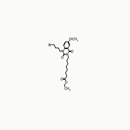 CCOC(=O)CCCCCCCn1c(=O)c2cc(OC)ccc2n(CCCCBr)c1=O